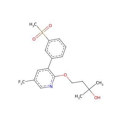 CC(C)(O)CCOc1ncc(C(F)(F)F)cc1-c1cccc(S(C)(=O)=O)c1